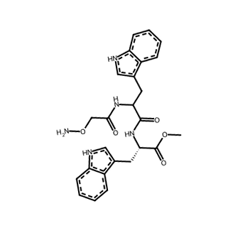 COC(=O)[C@H](Cc1c[nH]c2ccccc12)NC(=O)C(Cc1c[nH]c2ccccc12)NC(=O)CON